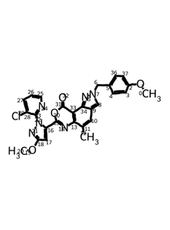 COc1ccc(Cn2cc3cc(C)c4nc(-c5cc(OC)nn5-c5ncccc5Cl)oc(=O)c4c3n2)cc1